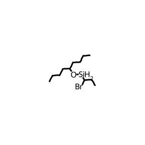 CCCCC(CCCC)O[SiH2]C(Br)CC